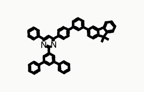 CC1(C)c2ccccc2-c2cc(-c3cccc(-c4ccc(-c5cc(-c6ccccc6)nc(-c6cc(-c7ccccc7)cc(-c7ccccc7)c6)n5)cc4)c3)ccc21